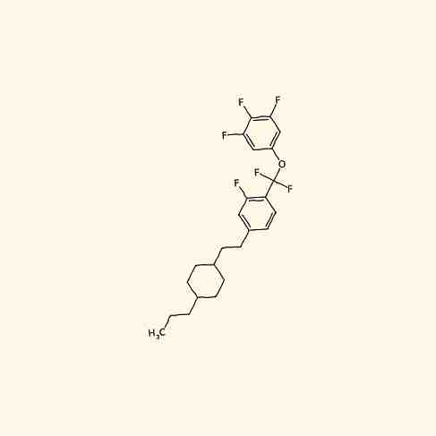 CCCC1CCC(CCc2ccc(C(F)(F)Oc3cc(F)c(F)c(F)c3)c(F)c2)CC1